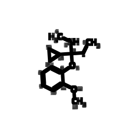 CCC(NC)(Oc1ccccc1OC)C1CC1